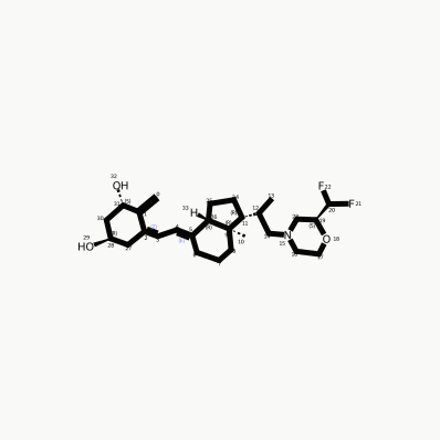 C=C1/C(=C\C=C2/CCC[C@]3(C)[C@@H](C(C)CN4CCO[C@H](C(F)F)C4)CC[C@@H]23)C[C@@H](O)C[C@@H]1O